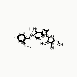 NC1c2ncn([C@@H]3O[C@H](CO)C(O)C3O)c2N=CN1OCc1ccccc1[N+](=O)[O-]